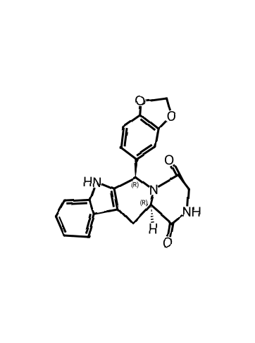 O=C1NCC(=O)N2[C@H](c3ccc4c(c3)OCO4)c3[nH]c4ccccc4c3C[C@H]12